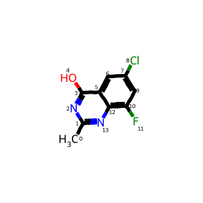 Cc1nc(O)c2cc(Cl)cc(F)c2n1